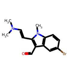 CN(C)C=Cc1c(C=O)c2cc(Br)ccc2n1C